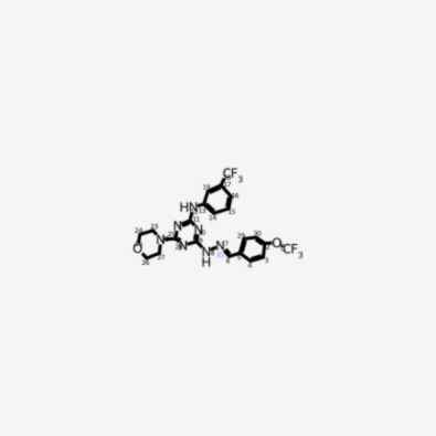 FC(F)(F)Oc1ccc(/C=N/Nc2nc(Nc3cccc(C(F)(F)F)c3)nc(N3CCOCC3)n2)cc1